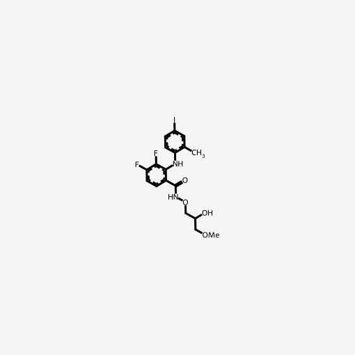 COCC(O)CONC(=O)c1ccc(F)c(F)c1Nc1ccc(I)cc1C